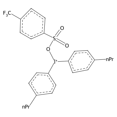 CCCc1ccc([I+](OS(=O)(=O)c2ccc(C(F)(F)F)cc2)c2ccc(CCC)cc2)cc1